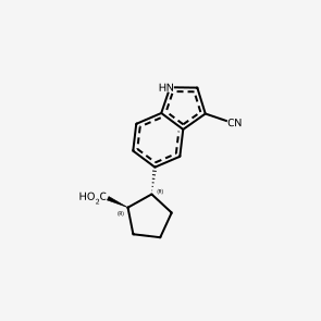 N#Cc1c[nH]c2ccc([C@@H]3CCC[C@H]3C(=O)O)cc12